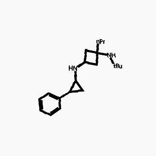 CCCC1(NC(C)(C)C)CC(NC2CC2c2ccccc2)C1